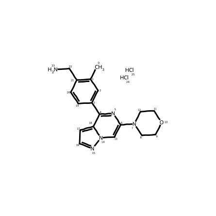 Cc1cc(-c2nc(N3CCOCC3)cn3nccc23)ccc1CN.Cl.Cl